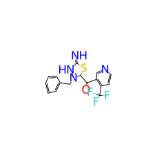 N=C1NN(Cc2ccccc2)C(C(=O)c2cnccc2C(F)(F)F)S1